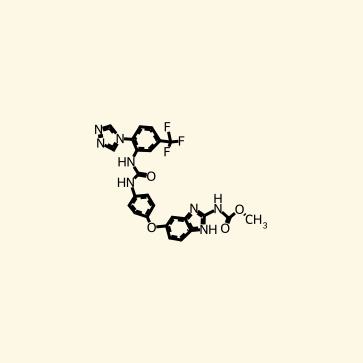 COC(=O)Nc1nc2cc(Oc3ccc(NC(=O)Nc4cc(C(F)(F)F)ccc4-n4cnnc4)cc3)ccc2[nH]1